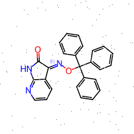 O=C1Nc2ncccc2/C1=N\OC(c1ccccc1)(c1ccccc1)c1ccccc1